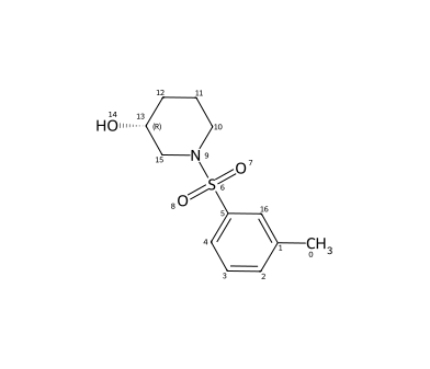 Cc1cccc(S(=O)(=O)N2CCC[C@@H](O)C2)c1